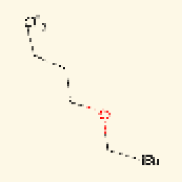 CCC(C)COCCCC(F)(F)F